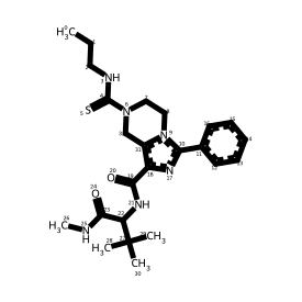 CCCNC(=S)N1CCn2c(-c3ccccc3)nc(C(=O)NC(C(=O)NC)C(C)(C)C)c2C1